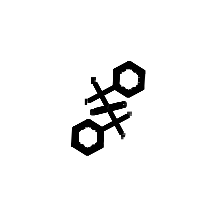 O=S(=O)(C(F)(F)c1ccccc1)C(F)(F)c1ccccc1